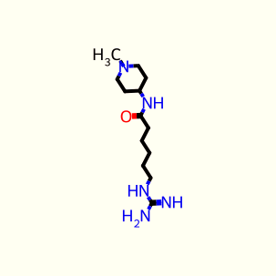 CN1CCC(NC(=O)CCCCCNC(=N)N)CC1